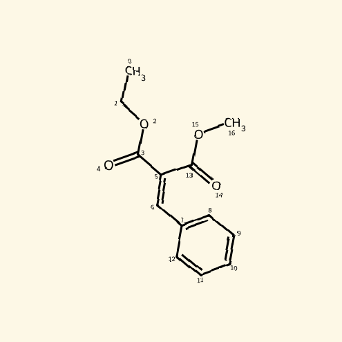 CCOC(=O)/C(=C/c1ccccc1)C(=O)OC